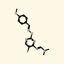 COc1ccc(C=NOc2ncc(F)c(/N=C/N(C)C)n2)cc1